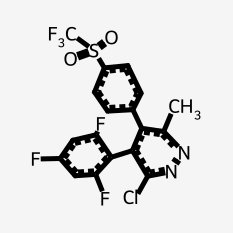 Cc1nnc(Cl)c(-c2c(F)cc(F)cc2F)c1-c1ccc(S(=O)(=O)C(F)(F)F)cc1